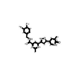 Cc1nc(C(=O)NCc2ccc(F)c(F)c2)cc(C2=NOC(c3c[nH]c(=O)c(C)c3)C2)n1